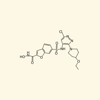 CCOC1CCN(c2nnc(Cl)cc2NS(=O)(=O)c2ccc3cc(C(=O)NO)oc3c2)CC1